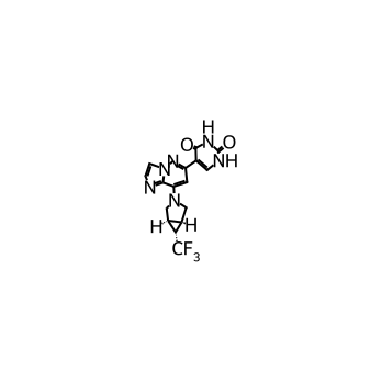 O=c1[nH]cc(-c2cc(N3C[C@@H]4[C@H](C3)[C@H]4C(F)(F)F)c3nccn3n2)c(=O)[nH]1